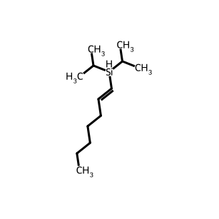 CCCCCC=C[SiH](C(C)C)C(C)C